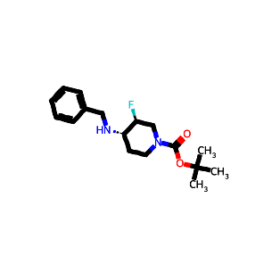 CC(C)(C)OC(=O)N1CC[C@H](NCc2ccccc2)[C@@H](F)C1